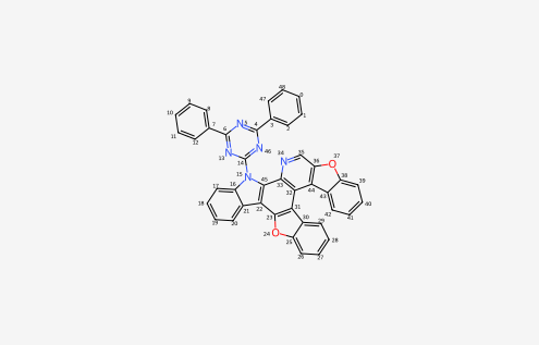 c1ccc(-c2nc(-c3ccccc3)nc(-n3c4ccccc4c4c5oc6ccccc6c5c5c(ncc6oc7ccccc7c65)c43)n2)cc1